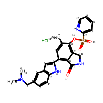 COc1cc(-c2cc3cc(CN(C)C)ccc3[nH]2)c2c(c1OS(=O)(=O)c1ccccn1)CNC2=O.Cl